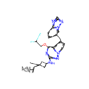 CC(=O)NC1(C)CC(Nc2nc(OCC(F)F)c3c(-c4ccc5ncnn5c4)ccn3n2)C1